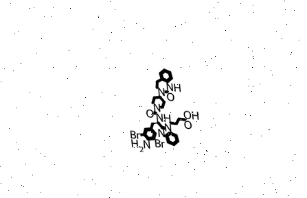 Nc1c(Br)cc(C[C@@H](NC(=O)N2CCC(N3CCc4ccccc4NC3=O)CC2)c2nc3ccccc3n2CCCC(=O)O)cc1Br